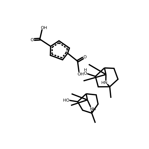 CC12CCC(C(O)C1)C(C)(C)N2.CC12CCC(C(O)C1)C(C)(C)N2.O=C(O)c1ccc(C(=O)O)cc1